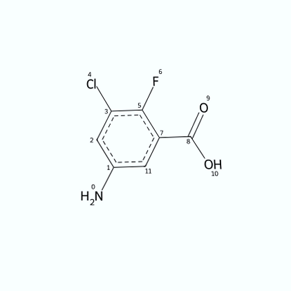 Nc1cc(Cl)c(F)c(C(=O)O)c1